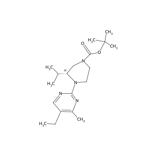 CCc1cnc(N2CCN(C(=O)OC(C)(C)C)C[C@H]2C(C)C)nc1C